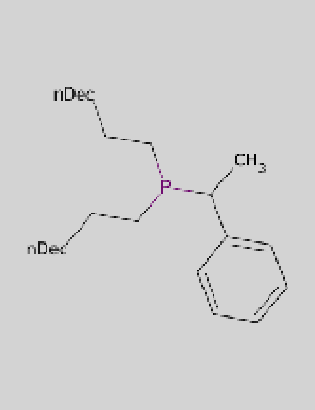 CCCCCCCCCCCCP(CCCCCCCCCCCC)C(C)c1ccccc1